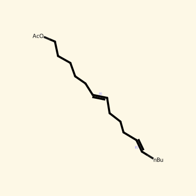 CCCC/C=C/CCC/C=C/CCCCCOC(C)=O